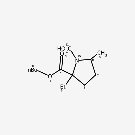 CCCCOC(=O)C1(CC)CCC(C)N1C(=O)O